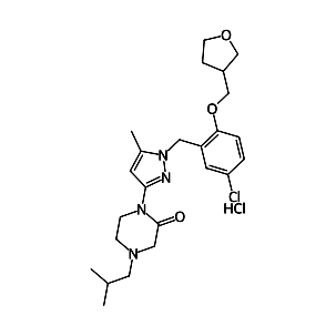 Cc1cc(N2CCN(CC(C)C)CC2=O)nn1Cc1cc(Cl)ccc1OCC1CCOC1.Cl